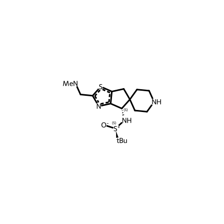 CNCc1nc2c(s1)CC1(CCNCC1)[C@@H]2N[S@+]([O-])C(C)(C)C